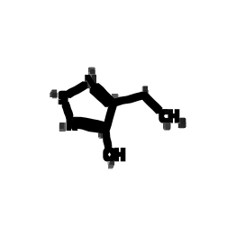 CCc1nsnc1O